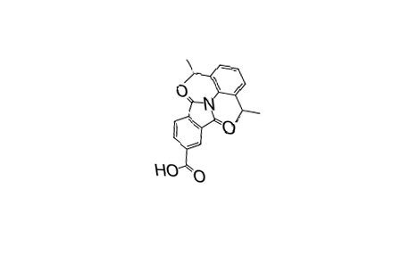 CC(C)c1cccc(C(C)C)c1N1C(=O)c2ccc(C(=O)O)cc2C1=O